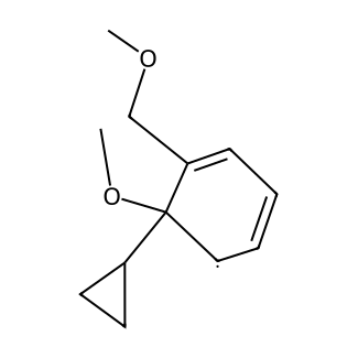 COCC1=CC=C[CH]C1(OC)C1CC1